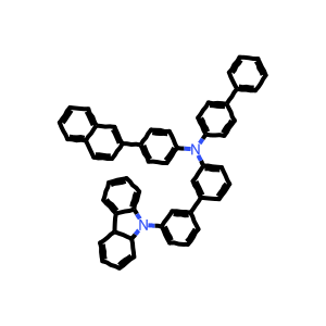 C1=CC2c3ccccc3N(c3cccc(-c4cccc(N(c5ccc(-c6ccccc6)cc5)c5ccc(-c6ccc7ccccc7c6)cc5)c4)c3)C2C=C1